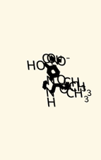 CC(C)(C)OC(=O)C1CNCCN1c1ccc([N+](=O)[O-])c(C(=O)O)c1